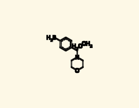 Bc1ccc(CN2CCOCC2)cc1.O.O